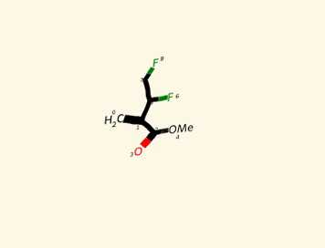 C=C(C(=O)OC)C(F)CF